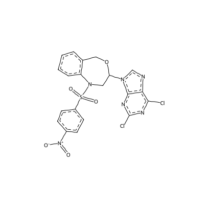 O=[N+]([O-])c1ccc(S(=O)(=O)N2CC(n3cnc4c(Cl)nc(Cl)nc43)OCc3ccccc32)cc1